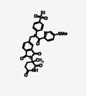 CCS(=O)(=O)c1ccc(N(Cc2ccc3c(c2)C(=O)N(C2(C)CCC(=O)NC2=O)C3=O)C(=O)c2ccc(SC)cn2)cc1